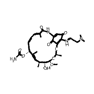 CO[C@H]1C[C@H](C)CC2=C(NCCN(C)C)C(=O)C=C(NC(=O)/C(C)=C/C=C\C[C@@H](OC(N)=O)/C(C)=C/[C@H](C)[C@H]1O)C2=O